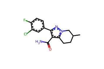 CC1CCc2c(C(N)=O)c(-c3ccc(F)c(Cl)c3)nn2C1